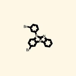 Brc1cccc(-n2c3ccc(Br)cc3n3c4ccccc4nc23)c1